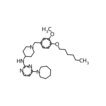 CCCCCCOc1ccc(CN2CCC(Nc3nccc(N4CCCCCC4)n3)CC2)cc1OC